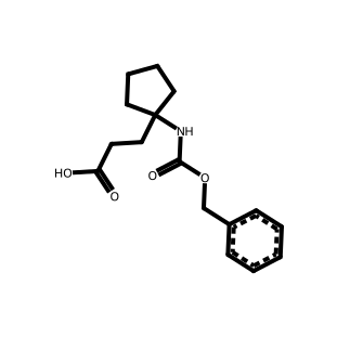 O=C(O)CCC1(NC(=O)OCc2ccccc2)CCCC1